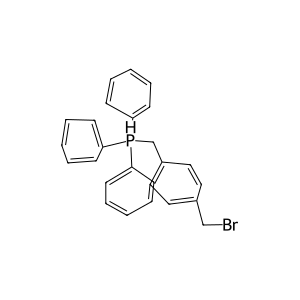 BrCc1ccc(C[PH](c2ccccc2)(c2ccccc2)c2ccccc2)cc1